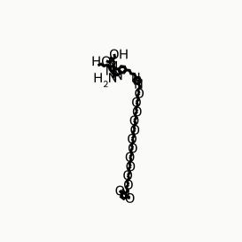 CCCCc1nc2c(N)nc3cc(CCCN4CCN(CCOCCOCCOCCOCCOCCOCCOCCOCCOCCOCCOCCN5C(=O)C=CC5=O)CC4)ccc3c2n1CC(C)(CO)CO